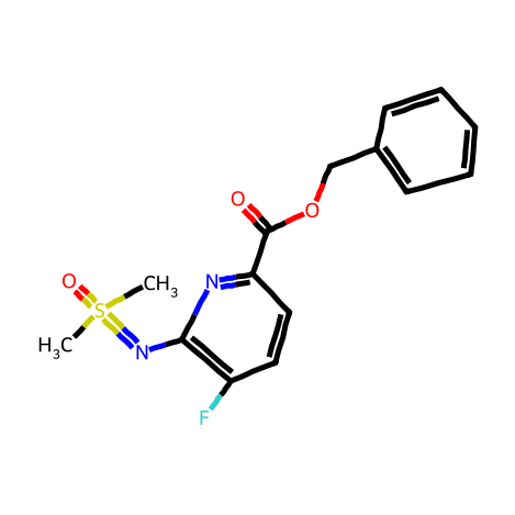 CS(C)(=O)=Nc1nc(C(=O)OCc2ccccc2)ccc1F